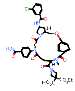 CCOC(=O)C1(C(=O)O)CN(C(=O)[C@@H]2CCC(=O)N(c3ccc(C(N)=O)cc3)CC(=O)N3C[C@H](NC(=O)c4cccc(Cl)c4)C[C@H]3COc3ccc(cc3)C(=O)N2C)C1